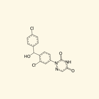 O=c1cnn(-c2ccc(C(O)c3ccc(Cl)cc3)c(Cl)c2)c(=O)[nH]1